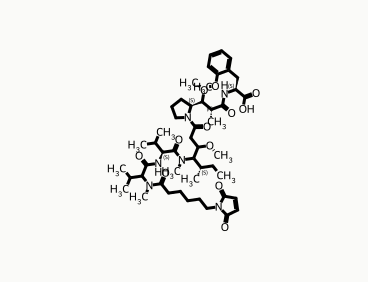 CC[C@H](C)C(C(CC(=O)N1CCC[C@H]1C(OC)[C@@H](C)C(=O)N[C@@H](Cc1ccccc1OC)C(=O)O)OC)N(C)C(=O)[C@@H](NC(=O)C(C(C)C)N(C)C(=O)CCCCCN1C(=O)C=CC1=O)C(C)C